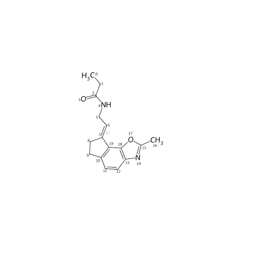 CCC(=O)NC/C=C1\CCc2ccc3nc(C)oc3c21